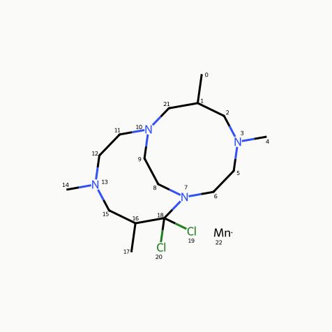 CC1CN(C)CCN2CCN(CCN(C)CC(C)C2(Cl)Cl)C1.[Mn]